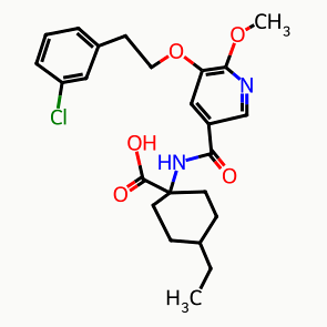 CCC1CCC(NC(=O)c2cnc(OC)c(OCCc3cccc(Cl)c3)c2)(C(=O)O)CC1